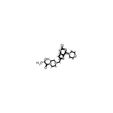 C[C@H](O)C(=O)N1CCN(Cc2cc3nc(Cl)nc(N4CCOCC4)c3s2)CC1